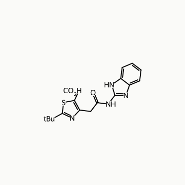 CC(C)(C)c1nc(CC(=O)Nc2nc3ccccc3[nH]2)c(C(=O)O)s1